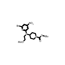 COCCN(c1cc([N+](=O)[O-])cc(Br)n1)C1CCN(C(=O)OC(C)(C)C)CC1